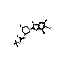 Cc1cc2c(nc(N3C[C@@H](F)C[C@@H](NC(=O)OC(C)(C)C)C3)n2C)c(Br)c1N